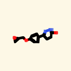 O=C1CCC(c2ccc(OCC3CO3)cc2)=NN1